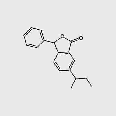 CCC(C)c1ccc2c(c1)C(=O)OC2c1ccccc1